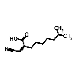 CC(C)CCCCCC(=CC#N)C(=O)O